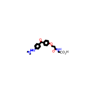 CN(C)/N=N/c1ccc(C(=O)c2ccc(OCCC(=O)NCC(=O)O)cc2)cc1